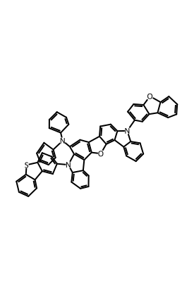 c1ccc(N(c2ccccc2)c2cc3c4ccc5c(c6ccccc6n5-c5ccc6oc7ccccc7c6c5)c4oc3c3c4ccccc4n(-c4ccc5sc6ccccc6c5c4)c23)cc1